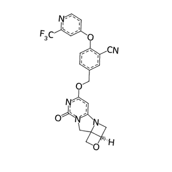 N#Cc1cc(COc2cc3n(c(=O)n2)CC24CO[C@@H]2CN34)ccc1Oc1ccnc(C(F)(F)F)c1